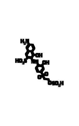 Nc1ccc2c(O)c(/N=N/c3ccc(S(=O)(=O)CCOS(=O)(=O)O)cc3O)c(S(=O)(=O)O)cc2c1